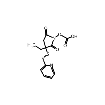 CCC1(SSc2ccccn2)CC(=O)N(OC(=O)O)C1=O